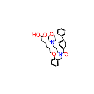 O=C(O)CCCCCOc1ccccc1CN(CCCN1CCOCC1)C(=O)c1ccc(-c2ccccc2)cc1